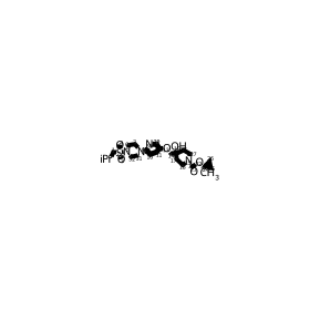 CC(C)CS(=O)(=O)N1CCN(c2ccc(OCC3(O)CCN(C(=O)OC4(C)CC4)CC3)cn2)CC1